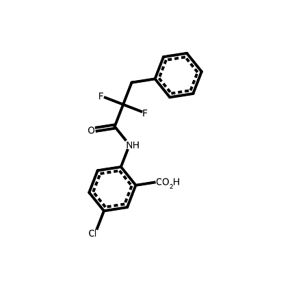 O=C(O)c1cc(Cl)ccc1NC(=O)C(F)(F)Cc1ccccc1